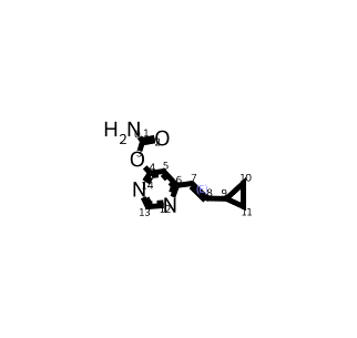 NC(=O)Oc1cc(/C=C/C2CC2)ncn1